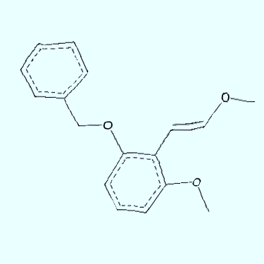 COC=Cc1c(OC)cccc1OCc1ccccc1